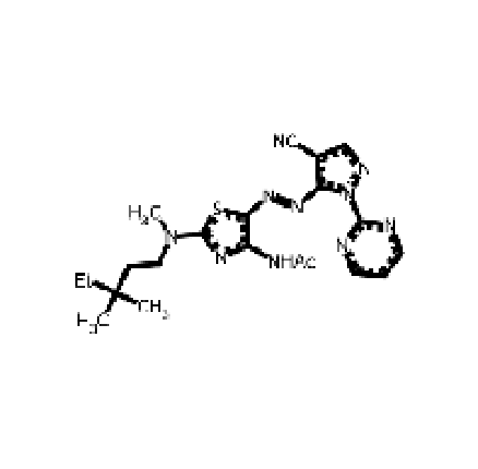 CCC(C)(C)CCN(C)c1nc(NC(C)=O)c(/N=N/c2c(C#N)cnn2-c2ncccn2)s1